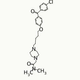 CN(C)C(=O)CN1CCN(CCCCCOc2ccc(C(=O)c3ccc(Cl)cc3)cc2)CC1